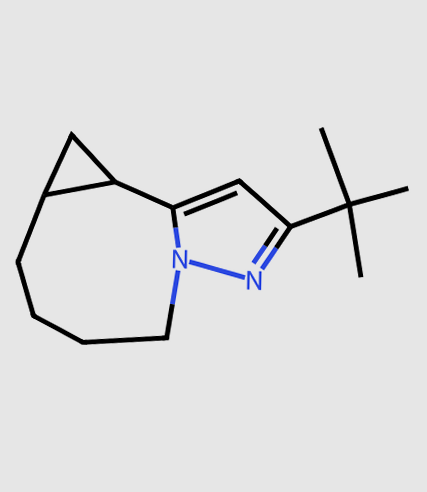 CC(C)(C)c1cc2n(n1)CCCCC1CC21